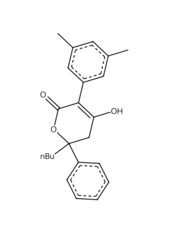 CCCCC1(c2ccccc2)CC(O)=C(c2cc(C)cc(C)c2)C(=O)O1